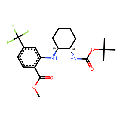 COC(=O)c1ccc(C(F)(F)F)cc1N[C@H]1CCCC[C@@H]1NC(=O)OC(C)(C)C